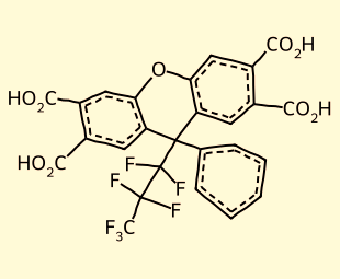 O=C(O)c1cc2c(cc1C(=O)O)C(c1ccccc1)(C(F)(F)C(F)(F)C(F)(F)F)c1cc(C(=O)O)c(C(=O)O)cc1O2